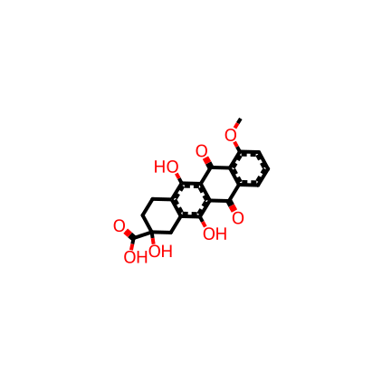 COc1cccc2c1C(=O)c1c(O)c3c(c(O)c1C2=O)CC(O)(C(=O)O)CC3